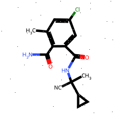 Cc1cc(Cl)cc(C(=O)NC(C)(C#N)C2CC2)c1C(N)=O